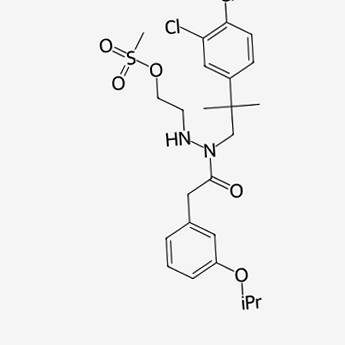 CC(C)Oc1cccc(CC(=O)N(CC(C)(C)c2ccc(Cl)c(Cl)c2)NCCOS(C)(=O)=O)c1